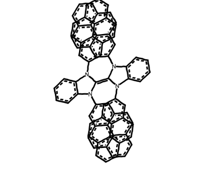 c1ccc2c(c1)N(c1cc3ccc4cccc5ccc(c1)c3c45)C(=C1N(c3cc4ccc5cccc6ccc(c3)c4c56)c3ccccc3N1c1cc3ccc4cccc5ccc(c1)c3c45)N2c1cc2ccc3cccc4ccc(c1)c2c34